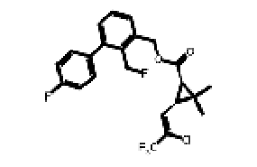 CC1(C)[C@H](C(=O)OCc2cccc(-c3ccc(F)cc3)c2CF)[C@@H]1/C=C(\Cl)C(F)(F)F